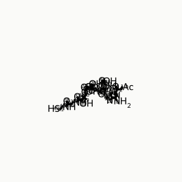 CC(=O)C=CC(=O)c1nc(N)c2ncn([C@@H]3O[C@H](COP(=O)(O)OP(=O)(O)OCC(C)(C)[C@@H](O)C(=O)NCCC(=O)NCCS)[C@@H](OP(=O)(O)O)[C@H]3O)c2n1